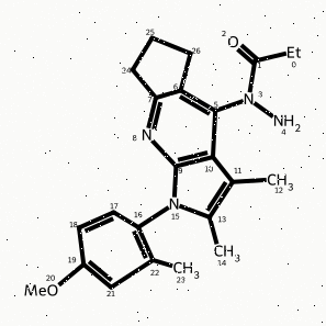 CCC(=O)N(N)c1c2c(nc3c1c(C)c(C)n3-c1ccc(OC)cc1C)CCC2